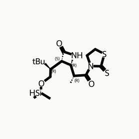 C[C@@H](C(=O)N1CCSC1=S)[C@H]1NC(=O)[C@H]1[C@@H](CO[SiH](C)C)C(C)(C)C